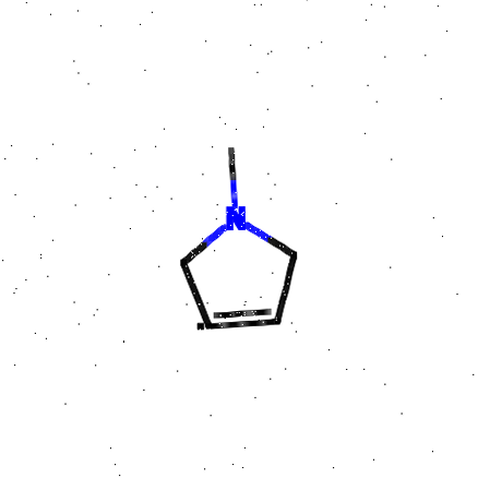 CN1C[C]=CC1